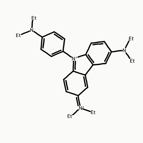 CCN(CC)c1ccc([N+]2=C3C=CC(=[N+](CC)CC)C=C3c3cc(N(CC)CC)ccc32)cc1